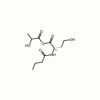 CCCC(=O)N[C@@H](CCO)C(=O)OC(=O)C(C)O